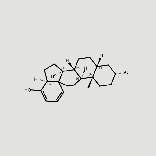 C[C@]12CC[C@@H](O)C[C@H]1CC[C@H]1[C@@H]3CC[C@@H]4C(O)=CC=CC43CC[C@@H]12